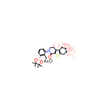 BC1(B)Cc2sc3c(c2C(B)(B)C1(B)B)CCN(c1cccc(B2OC(C)(C)C(C)(C)O2)c1COC(C)=O)C3=O